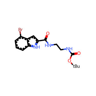 CC(C)(C)OC(=O)NCCNC(=O)c1cc2c(Br)cccc2[nH]1